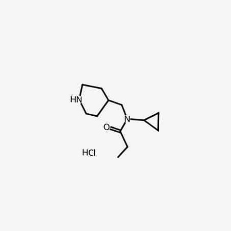 CCC(=O)N(CC1CCNCC1)C1CC1.Cl